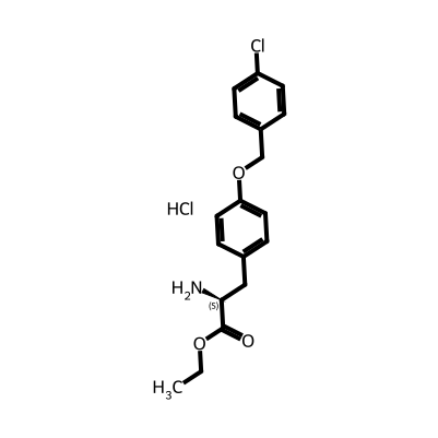 CCOC(=O)[C@@H](N)Cc1ccc(OCc2ccc(Cl)cc2)cc1.Cl